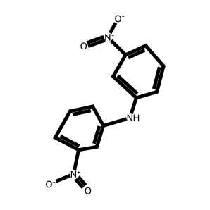 O=[N+]([O-])c1cccc(Nc2cccc([N+](=O)[O-])c2)c1